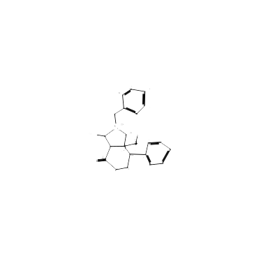 CC1C2C(=O)CCC(c3ccccc3)C2(C(=O)O)CN1Cc1ccccc1